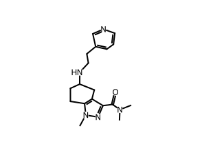 CN(C)C(=O)c1nn(C)c2c1CC(NCCc1cccnc1)CC2